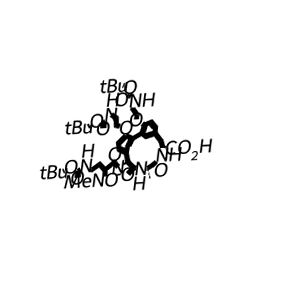 CNC(=O)C(CCNC(=O)OC(C)(C)C)C(=O)N(C)[C@@H]1C(=O)N[C@@H](C)C(=O)N[C@H](C(=O)O)Cc2ccc(OCCNC(=O)OC(C)(C)C)c(c2)-c2cc1ccc2OCCNC(=O)OC(C)(C)C